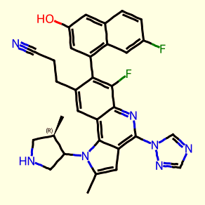 Cc1cc2c(-n3cncn3)nc3c(F)c(-c4cc(O)cc5ccc(F)cc45)c(CCC#N)cc3c2n1C1CNC[C@H]1C